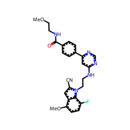 COCCNC(=O)c1ccc(-c2cc(NCCn3c(C#N)cc4c(OC)ccc(F)c43)ncn2)cc1